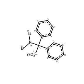 CCOC(=O)C(c1ccccc1)(c1ccccc1)N(CC)CC